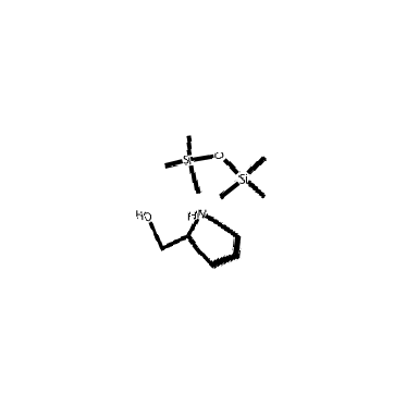 C[Si](C)(C)O[Si](C)(C)C.OCC1CCCN1